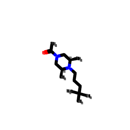 CC(=O)N1C[C@@H](C)N(CCCC(C)(C)C)[C@@H](C)C1